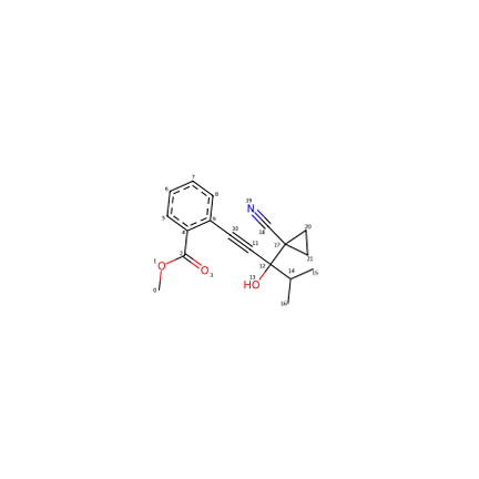 COC(=O)c1ccccc1C#CC(O)(C(C)C)C1(C#N)CC1